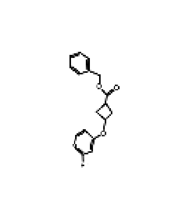 O=C(OCc1ccccc1)C1CC(Oc2ccnc(Br)c2)C1